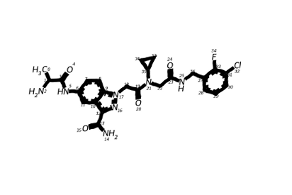 CC(N)C(=O)Nc1ccc2c(c1)c(C(N)=O)nn2CC(=O)N(CC(=O)NCc1cccc(Cl)c1F)C1CC1